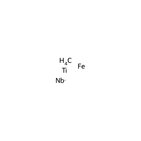 C.[Fe].[Nb].[Ti]